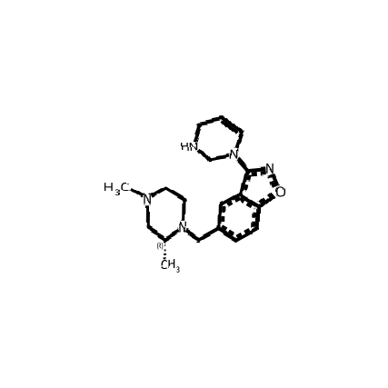 C[C@@H]1CN(C)CCN1Cc1ccc2onc(N3C=CCNC3)c2c1